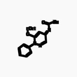 CCCCCCCCOc1c/c(=N\C(=O)C(C)CC)cnn1-c1ccccc1